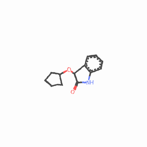 O=C1Nc2ccccc2C1OC1CCCC1